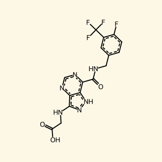 O=C(O)CNc1n[nH]c2c(C(=O)NCc3ccc(F)c(C(F)(F)F)c3)ncnc12